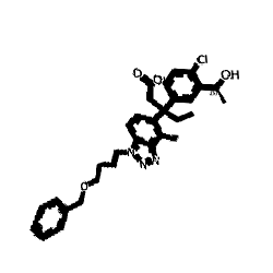 CCC(CC(=O)O)(c1ccc(Cl)c([C@H](C)O)c1)c1ccc2c(nnn2CCCCOCc2ccccc2)c1C